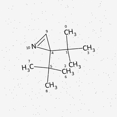 CC(C)(C)C1(C(C)(C)C)C=N1